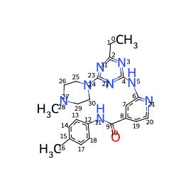 CCc1nc(Nc2cc(C(=O)Nc3ccc(C)cc3)ccn2)nc(N2CCN(C)CC2)n1